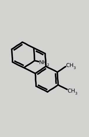 Cc1ccc2c(c1C)C=C1C=CC=C2C1N